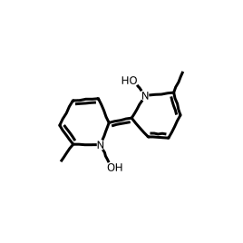 CC1=CC=CC(=C2C=CC=C(C)N2O)N1O